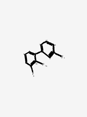 Fc1[c]c(-c2cccc(F)c2F)ccc1